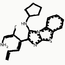 C=C/C=C(\C(F)=C/N)c1nc2sc3ccccc3n2c1NC1CCCC1